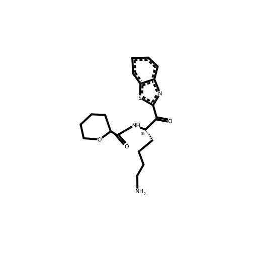 NCCCC[C@H](NC(=O)C1CCCCO1)C(=O)c1nc2ccccc2s1